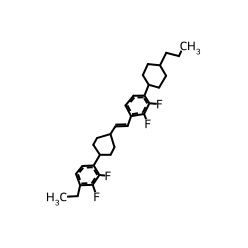 CCCC1CCC(c2ccc(/C=C/C3CCC(c4ccc(CC)c(F)c4F)CC3)c(F)c2F)CC1